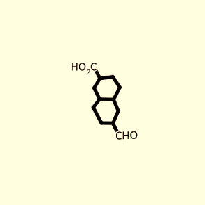 O=CC1CCC2CC(C(=O)O)CCC2C1